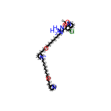 CC(=O)Oc1c(/C(N)=C/N(N)CCCCCCCCCCOCCCc2ccc[n+](CCCCCCCCCCOCCCc3cccnc3)c2)cc(Cl)c2cccnc12